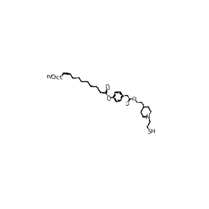 CCCCCCCC/C=C\CCCCCCCC(=O)Oc1ccc(CC(=O)OCCC2CCN(CCS)CC2)cc1